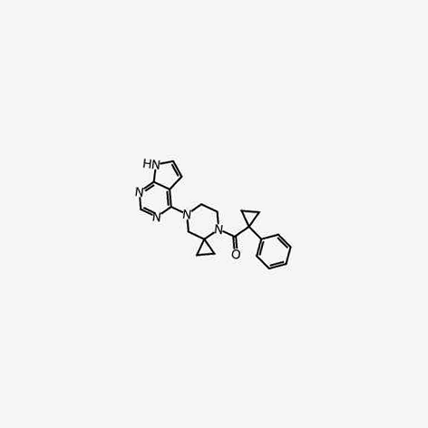 O=C(N1CCN(c2ncnc3[nH]ccc23)CC12CC2)C1(c2ccccc2)CC1